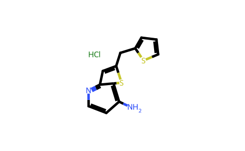 Cl.Nc1ccnc2cc(Cc3cccs3)sc12